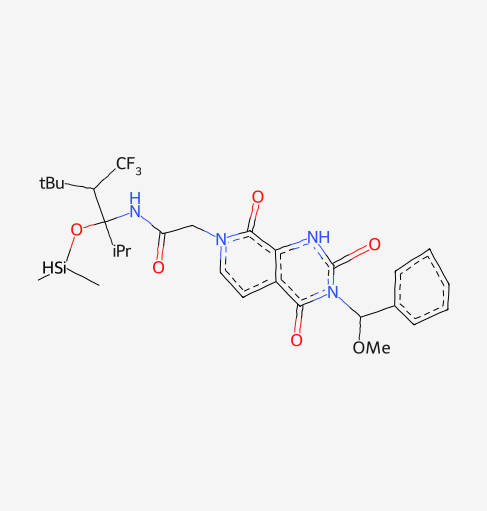 COC(c1ccccc1)n1c(=O)[nH]c2c(=O)n(CC(=O)NC(O[SiH](C)C)(C(C)C)C(C(C)(C)C)C(F)(F)F)ccc2c1=O